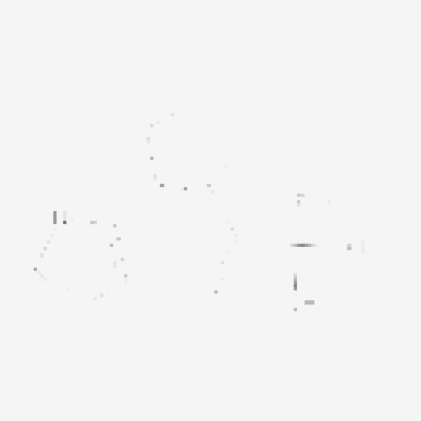 CC(C)(C)C(=O)N1CCCC1c1ccc[nH]1